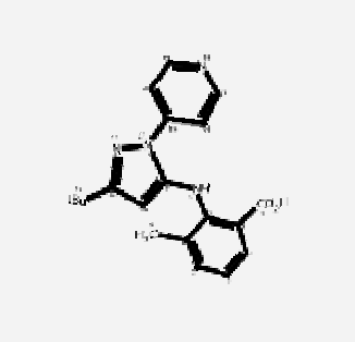 Cc1cccc(C(=O)O)c1Nc1cc(C(C)(C)C)nn1-c1ccncc1